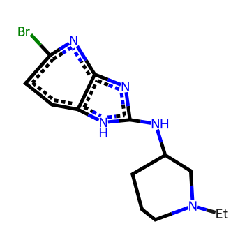 CCN1CCCC(Nc2nc3nc(Br)ccc3[nH]2)C1